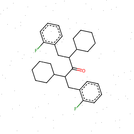 O=C(C(Cc1ccccc1F)C1CCCCC1)C(Cc1ccccc1F)C1CCCCC1